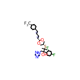 CC(C)(S[C@H]1CO[C@H](/C=C/C=C/c2ccc(C(F)(F)F)cc2)OC1)C(O)(Cn1cncn1)c1ccc(F)cc1F